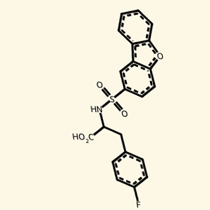 O=C(O)C(Cc1ccc(F)cc1)NS(=O)(=O)c1ccc2oc3ccccc3c2c1